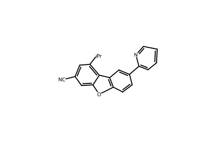 CC(C)c1cc(C#N)cc2oc3ccc(-c4ccccn4)cc3c12